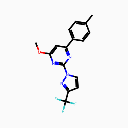 COc1cc(-c2ccc(C)cc2)nc(-n2ccc(C(F)(F)F)n2)n1